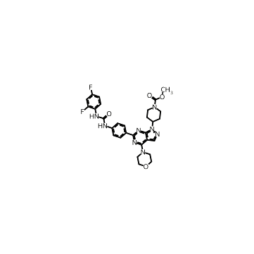 COC(=O)N1CCC(n2ncc3c(N4CCOCC4)nc(-c4ccc(NC(=O)Nc5ccc(F)cc5F)cc4)nc32)CC1